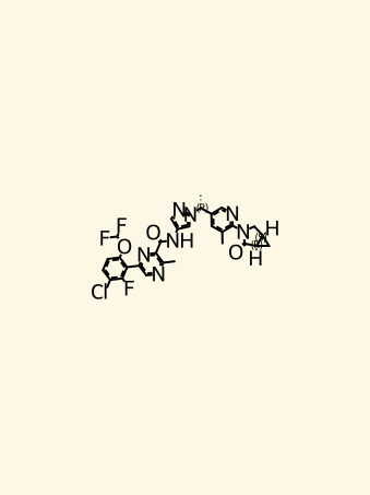 Cc1cc([C@@H](C)n2cc(NC(=O)c3nc(-c4c(OC(F)F)ccc(Cl)c4F)cnc3C)cn2)cnc1N1C[C@H]2C[C@H]2C1=O